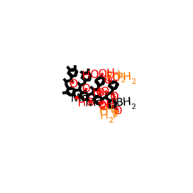 Bc1c(OP)cc(OP)c2c1OC(c1ccc(OP)c(OP)c1)C(O)C2c1c(O)cc(O)c2c1OC(c1ccc(O)c(O)c1)C(C)C2c1[c]([Mo])cc(C)c2c1OC(c1ccc(C)c(C)c1)C(C)C2c1[c]([Mo])cc(C)c2c1OC(c1ccc(C)c(C)c1)C(C)C2